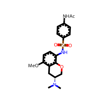 COc1ccc(NS(=O)(=O)c2ccc(NC(C)=O)cc2)c2c1C[C@@H](N(C)C)CO2